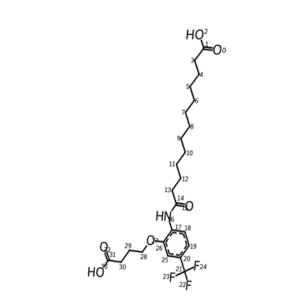 O=C(O)CCCCCCCCCCCC(=O)Nc1ccc(C(F)(F)F)cc1OCCCC(=O)O